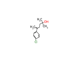 C=C(CCC(C)(C)O)c1ccc(Cl)cc1